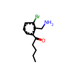 CCCCC(=O)c1cccc(Br)c1CN